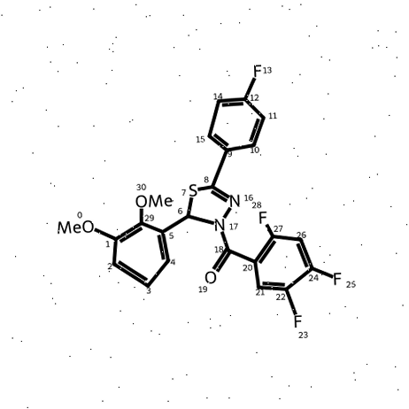 COc1cccc(C2SC(c3ccc(F)cc3)=NN2C(=O)c2cc(F)c(F)cc2F)c1OC